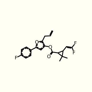 C=CCc1oc(-c2ccc(F)cc2)cc1OC(=O)C1C(C=C(F)F)C1(C)C